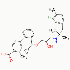 Cc1ccc(CC(C)(C)NC[C@@H](O)CO[C@@H](c2ccccc2-c2ccc(C(=O)O)c(C)c2)C2CC2)cc1F